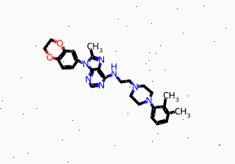 Cc1cccc(N2CCN(CCNc3ncnc4c3nc(C)n4-c3ccc4c(c3)OCCO4)CC2)c1C